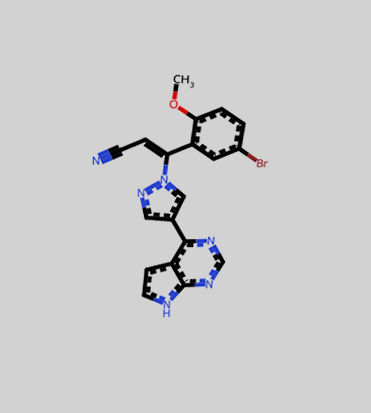 COc1ccc(Br)cc1/C(=C/C#N)n1cc(-c2ncnc3[nH]ccc23)cn1